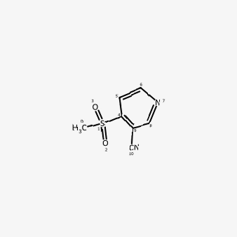 CS(=O)(=O)c1ccncc1C#N